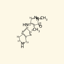 Cc1c(Nc2ccc3c(c2)CCNC3)cnn(C)c1=O